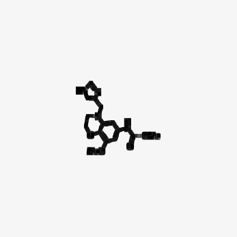 COC(=O)Nc1cc(OC)c2c(c1)N(Cc1c[nH]cn1)CCO2